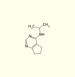 CC(C)Nc1ncnc2c1CCC2